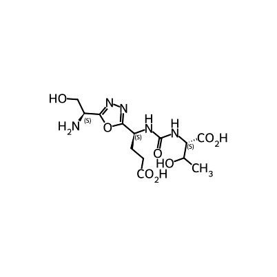 CC(O)[C@H](NC(=O)N[C@@H](CCC(=O)O)c1nnc([C@@H](N)CO)o1)C(=O)O